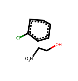 Clc1ccccc1.O=[N+]([O-])CCO